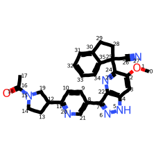 COc1cc2[nH]nc(-c3ccc(C4CCN(C(C)=O)C4)nc3)c2nc1C1(C#N)CCc2ccccc21